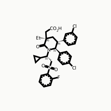 CC[C@]1(CC(=O)O)C[C@H](c2cccc(Cl)c2)[C@@H](c2ccc(Cl)cc2)N([C@H](CS(=O)(=O)c2ccccc2F)C2CC2)C1=O